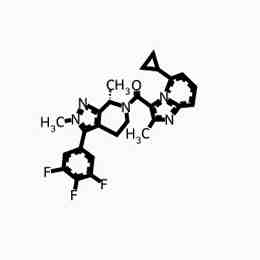 Cc1nc2cccc(C3CC3)n2c1C(=O)N1CCc2c(nn(C)c2-c2cc(F)c(F)c(F)c2)[C@@H]1C